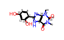 Cn1c(=O)c2[nH]c(-c3ccc(O)cc3O)nc2n(C)c1=O